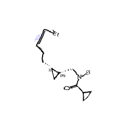 CC/C=C\CC[C@H]1C[C@H]1CN(CC)C(=O)C1CC1